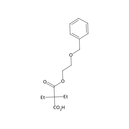 CCC(CC)(C(=O)O)C(=O)OCCOCc1ccccc1